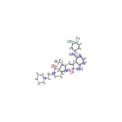 Cc1c(/C=C2\C(=O)Nc3ncnc(Nc4ccc(F)c(Cl)c4)c32)[nH]c2c1C(=O)N(CCN1CCCCC1)CC2